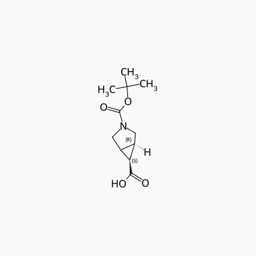 CC(C)(C)OC(=O)N1CC2[C@@H](C1)[C@H]2C(=O)O